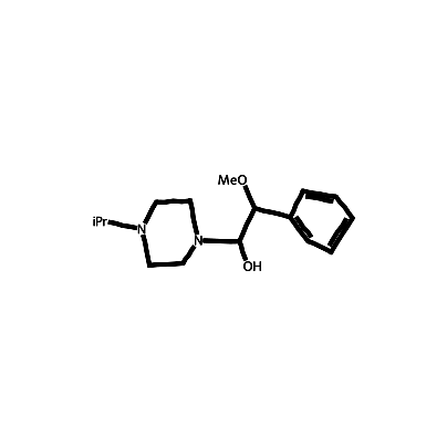 COC(c1ccccc1)C(O)N1CCN(C(C)C)CC1